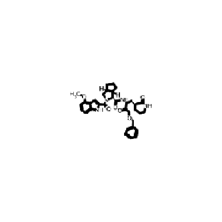 COc1cccc2[nH]c(C(=O)N3C[C@@H]4CCC[C@@H]4[C@H]3C(=O)NC(C[C@@H]3CCCNC3=O)C(=O)COCc3ccccc3)cc12